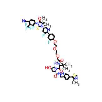 Cc1ncsc1-c1ccc(CNC(=O)[C@@H]2C[C@@H](O)CN2C(=O)[C@@H](NC(=O)COCCOCCOc2ccc(-c3ncc(N4C(=S)N(c5ccc(C#N)c(C(F)(F)F)c5F)C(=O)C4(C)C)cc3F)cc2F)C(C)(C)C)cc1